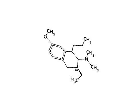 CCCC1c2cc(OC)ccc2C[C@H](CC)C1N(C)C